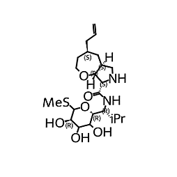 C=CC[C@@H]1CCO[C@@H]2[C@H](CN[C@@H]2C(=O)N[C@H](C(C)C)[C@H]2OC(SC)[C@H](O)C(O)C2O)C1